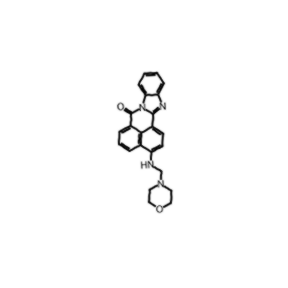 O=c1c2cccc3c(NCN4CCOCC4)ccc(c32)c2nc3ccccc3n12